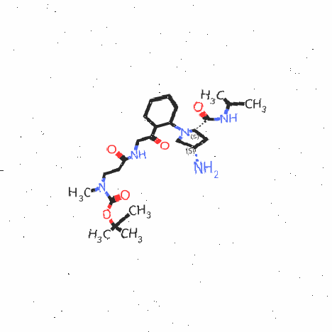 CC(C)NC(=O)[C@@H]1C[C@H](N)CN1C1CCCCC1C(=O)CNC(=O)CCN(C)C(=O)OC(C)(C)C